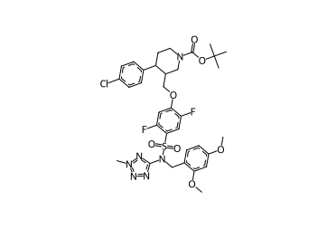 COc1ccc(CN(c2nnn(C)n2)S(=O)(=O)c2cc(F)c(OCC3CN(C(=O)OC(C)(C)C)CCC3c3ccc(Cl)cc3)cc2F)c(OC)c1